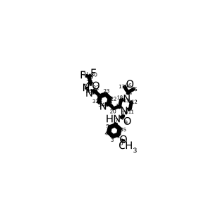 COc1cccc(NC(=O)N2CCN(C3COC3)CC2Cc2ccc(-c3nnc(C(F)F)o3)cn2)c1